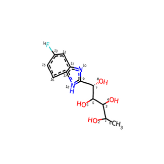 CC(O)C(O)C(O)[C@@H](O)c1nc2cc(F)ccc2[nH]1